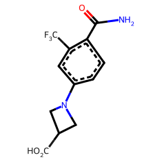 NC(=O)c1ccc(N2CC(C(=O)O)C2)cc1C(F)(F)F